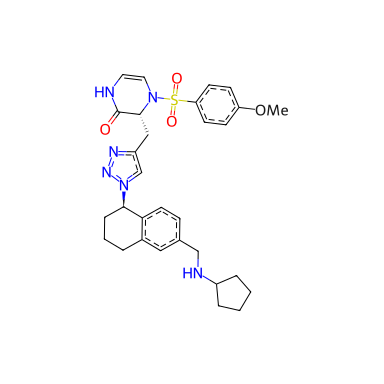 COc1ccc(S(=O)(=O)N2C=CNC(=O)[C@H]2Cc2cn([C@@H]3CCCc4cc(CNC5CCCC5)ccc43)nn2)cc1